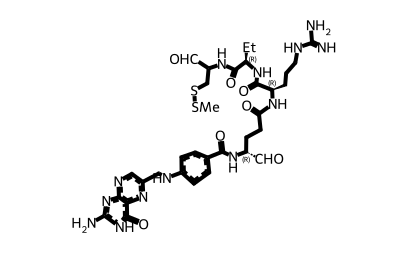 CC[C@@H](NC(=O)[C@@H](CCCNC(=N)N)NC(=O)CC[C@H](C=O)NC(=O)c1ccc(NCc2cnc3nc(N)[nH]c(=O)c3n2)cc1)C(=O)NC(C=O)CSSC